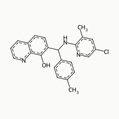 Cc1ccc(C(Nc2ncc(Cl)cc2C)c2ccc3cccnc3c2O)cc1